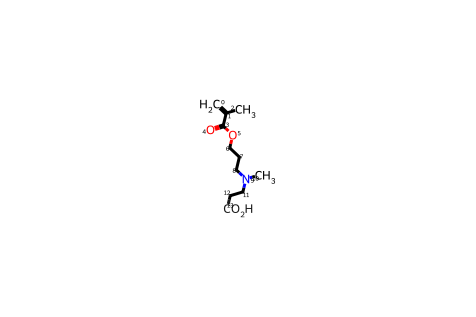 C=C(C)C(=O)OCCCN(C)CCC(=O)O